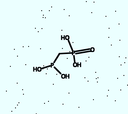 O=P(O)(O)CP(O)O